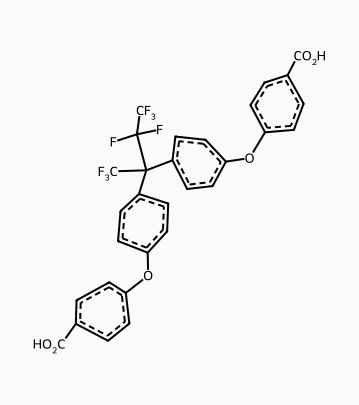 O=C(O)c1ccc(Oc2ccc(C(c3ccc(Oc4ccc(C(=O)O)cc4)cc3)(C(F)(F)F)C(F)(F)C(F)(F)F)cc2)cc1